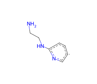 NCCNc1cc[c]cn1